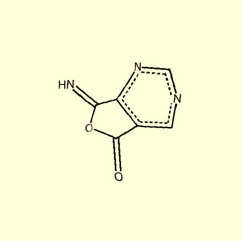 N=C1OC(=O)c2cncnc21